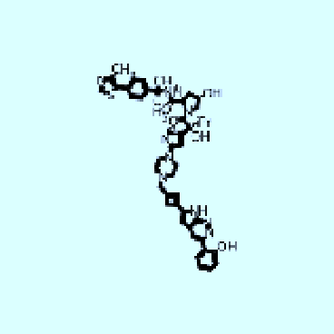 Cc1ncsc1-c1ccc(C(C)(C)NC(=O)C2C[C@@H](O)CN2C(=O)[C@](O)(c2cc(N3CCN(CC45CC(c6cc7cc(-c8ccccc8O)nnc7[nH]6)(C4)C5)CC3)no2)C(C)C)cc1